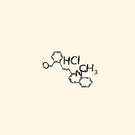 C[n+]1c(/C=C/c2ccccc2C=O)ccc2ccccc21.Cl